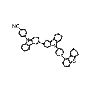 N#Cc1ccc(-n2c3ccccc3c3cc(-c4ccc5c(c4)c4ccccc4n5-c4ccc(-c5cccc6sc7ccccc7c56)cc4)ccc32)cc1